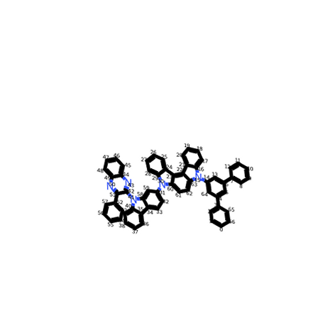 c1ccc(-c2cc(-c3ccccc3)cc(-n3c4ccccc4c4c5c6ccccc6n(-c6ccc7c8ccccc8n(-c8nc9ccccc9nc8-c8ccccc8)c7c6)c5ccc43)c2)cc1